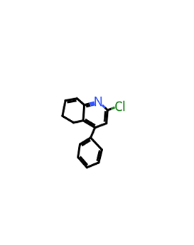 Clc1cc(-c2ccccc2)c2c(n1)C=CCC2